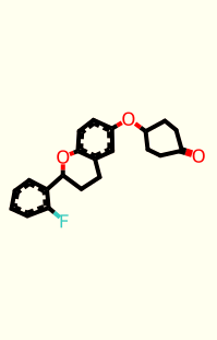 O=C1CCC(Oc2ccc3c(c2)CCC(c2ccccc2F)O3)CC1